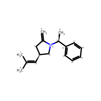 C=C1C[C@H](C=C(C)C)CN1[C@@H](C)c1ccccc1